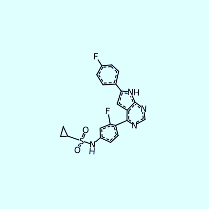 O=S(=O)(Nc1ccc(-c2ncnc3[nH]c(-c4ccc(F)cc4)cc23)c(F)c1)C1CC1